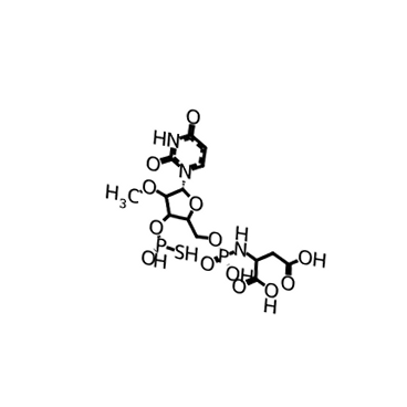 COC1C(O[PH](=O)S)C(COP(=O)(O)NC(CC(=O)O)C(=O)O)O[C@H]1n1ccc(=O)[nH]c1=O